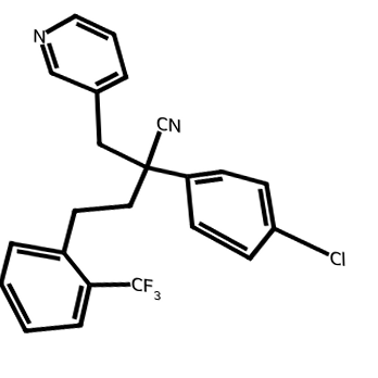 N#CC(CCc1ccccc1C(F)(F)F)(Cc1cccnc1)c1ccc(Cl)cc1